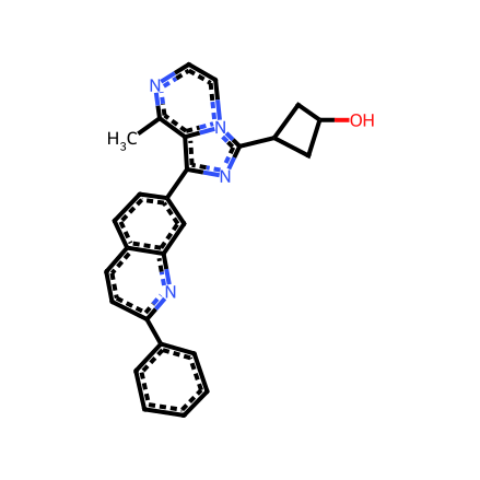 Cc1nccn2c(C3CC(O)C3)nc(-c3ccc4ccc(-c5ccccc5)nc4c3)c12